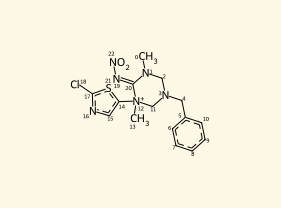 CN1CN(Cc2ccccc2)C[N+](C)(c2cnc(Cl)s2)C1=N[N+](=O)[O-]